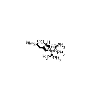 CN[C@@H](Cc1cn(P(P(P)P)P(P)PP)cn1)C(=O)O